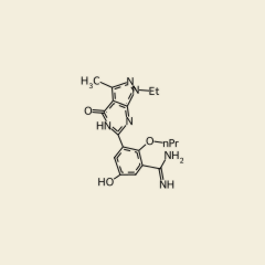 CCCOc1c(C(=N)N)cc(O)cc1-c1nc2c(c(C)nn2CC)c(=O)[nH]1